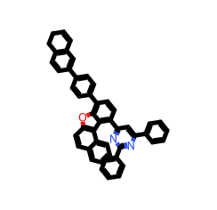 C1=Cc2cc(-c3ccc(-c4ccc(-c5cc(-c6ccccc6)nc(-c6ccccc6)n5)c5c4oc4ccc6ccccc6c45)cc3)ccc2CC1